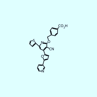 N#Cc1c(-c2ccc(-c3cccnc3)o2)cc(-c2cccs2)nc1OCc1ccc(C(=O)O)cc1